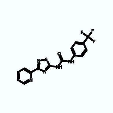 O=C(Nc1ccc(C(F)(F)F)cc1)Nc1nc(-c2ccccn2)ns1